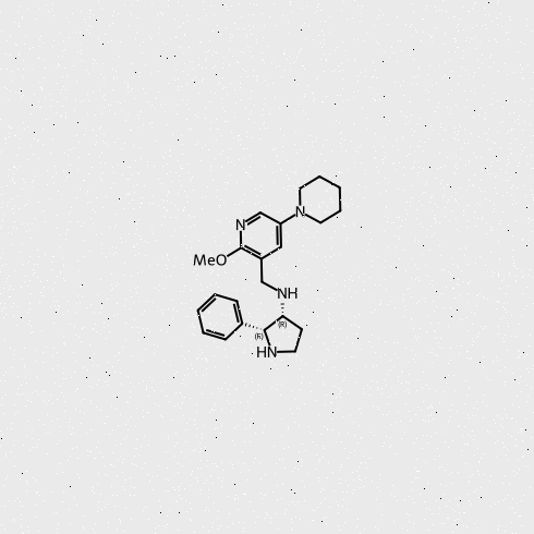 COc1ncc(N2CCCCC2)cc1CN[C@@H]1CCN[C@@H]1c1ccccc1